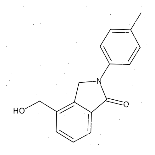 Cc1ccc(N2Cc3c(CO)cccc3C2=O)cc1